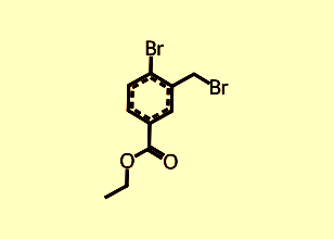 CCOC(=O)c1ccc(Br)c(CBr)c1